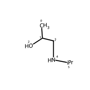 CC(O)[CH]NC(C)C